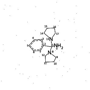 NC(c1ccccc1)(N1CCCC1)N1CCCC1